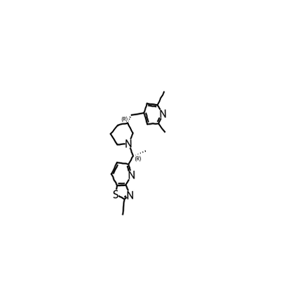 Cc1cc(C[C@H]2CCCN([C@H](C)c3ccc4sc(C)nc4n3)C2)cc(C)n1